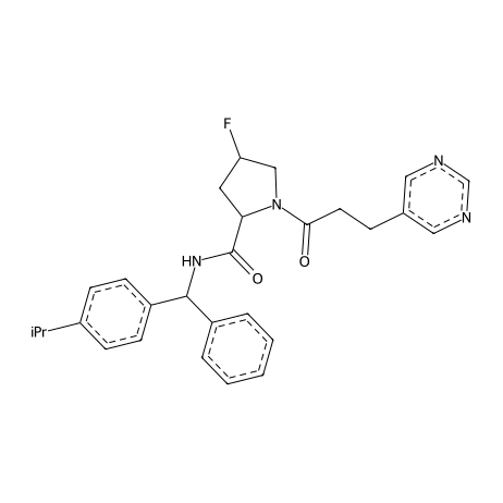 CC(C)c1ccc(C(NC(=O)C2CC(F)CN2C(=O)CCc2cncnc2)c2ccccc2)cc1